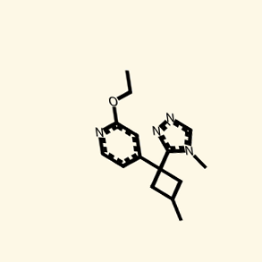 CCOc1cc(C2(c3nncn3C)CC(C)C2)ccn1